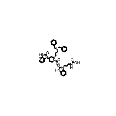 O=C(O)N1CCC(n2c(=O)[nH]c3ncccc32)C[C@@H]1CCCN(Cc1ccccc1)Cc1ccccc1.O=C(O)NCCCn1c(=O)[nH]c2ccccc21